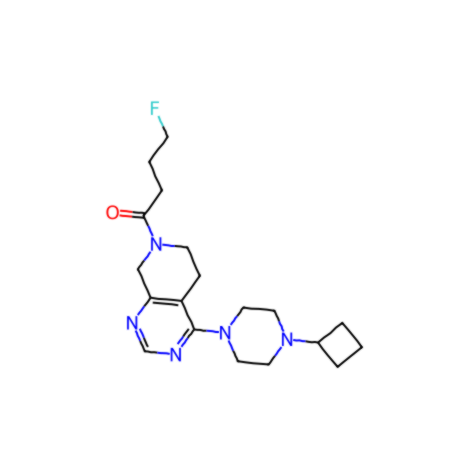 O=C(CCCF)N1CCc2c(ncnc2N2CCN(C3CCC3)CC2)C1